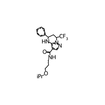 CC(C)OCCCNC(=O)c1cnn2c1NC(c1ccccc1)CC2C(F)(F)F